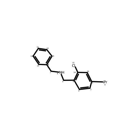 CC(C)c1ccc(CNCc2ccccc2)c(Cl)c1